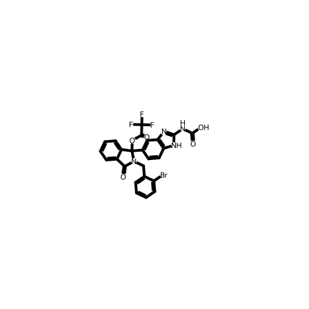 O=C(O)Nc1nc2cc(C3(OC(=O)C(F)(F)F)c4ccccc4C(=O)N3Cc3ccccc3Br)ccc2[nH]1